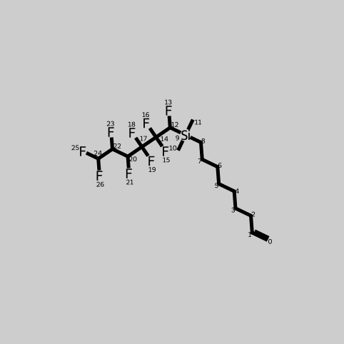 C=CCCCCCCC[Si](C)(C)C(F)C(F)(F)C(F)(F)C(F)C(F)C(F)F